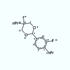 CCCc1ccc(C2OCC(F)(CCC)CO2)cc1F